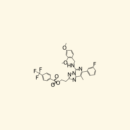 COc1ccc(CNc2nc(-c3cccc(F)c3)c(C)c3nc(CCOS(=O)(=O)c4ccc(C(F)(F)F)cc4)nn23)c(OC)c1